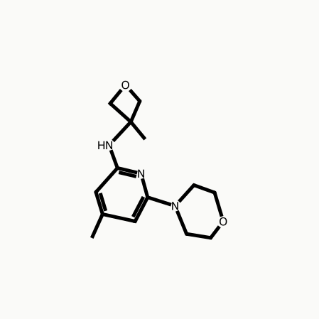 Cc1cc(NC2(C)COC2)nc(N2CCOCC2)c1